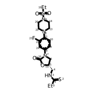 CCC(=S)NC[C@H]1CN(c2ccc(N3CCN(S(=O)(=O)CC)CC3)c(F)c2)C(=O)O1